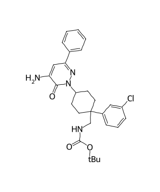 CC(C)(C)OC(=O)NCC1(c2cccc(Cl)c2)CCC(n2nc(-c3ccccc3)cc(N)c2=O)CC1